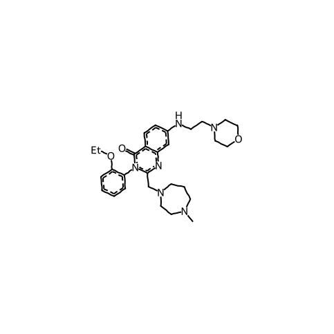 CCOc1ccccc1-n1c(CN2CCCN(C)CC2)nc2cc(NCCN3CCOCC3)ccc2c1=O